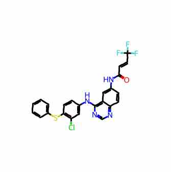 O=C(C=CC(F)(F)F)Nc1ccc2ncnc(Nc3ccc(Sc4ccccc4)c(Cl)c3)c2c1